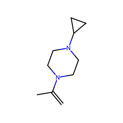 C=C(C)N1CCN(C2CC2)CC1